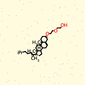 CC(C)CCC[C@@H](C)[C@H]1CCC2C3CC=C4C[C@@H](OCCOCCO)CCC4(C)[C@H]3CCC21C